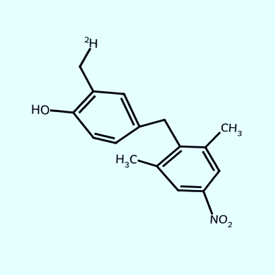 [2H]Cc1cc(Cc2c(C)cc([N+](=O)[O-])cc2C)ccc1O